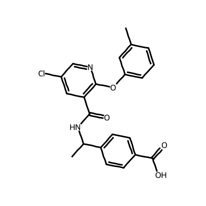 Cc1cccc(Oc2ncc(Cl)cc2C(=O)NC(C)c2ccc(C(=O)O)cc2)c1